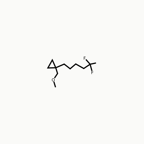 COCC1(CCCCC(C)(F)F)CC1